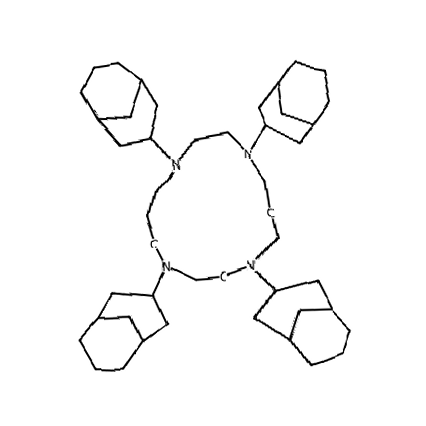 C1CC2CC(C1)CC(N1CCCN(C3CC4CCCC(C4)C3)CCN(C3CC4CCCC(C4)C3)CCCN(C3CC4CCCC(C4)C3)CC1)C2